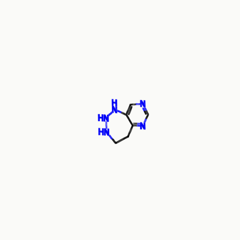 c1ncc2c(n1)CCNNN2